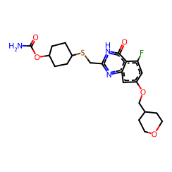 NC(=O)OC1CCC(SCc2nc3cc(OCC4CCOCC4)cc(F)c3c(=O)[nH]2)CC1